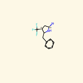 [N][C@@H]1C[C@H](C(F)(F)F)C(Cc2ccccc2)N1